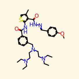 CCN(CC)CCN(CCN(CC)CC)Cc1cccc(C(=O)Nc2scc(C)c2C(=O)NN=Cc2ccc(OC)cc2)c1